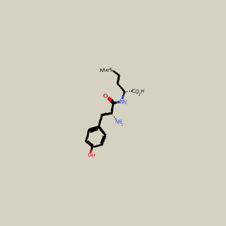 CSCC[C@@H](NC(=O)[C@H](N)Cc1ccc(O)cc1)C(=O)O